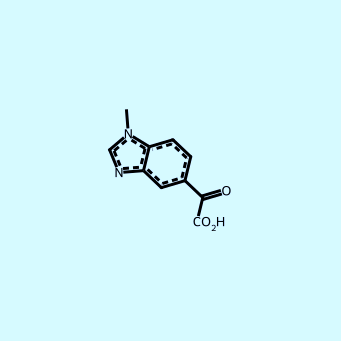 Cn1cnc2cc(C(=O)C(=O)O)ccc21